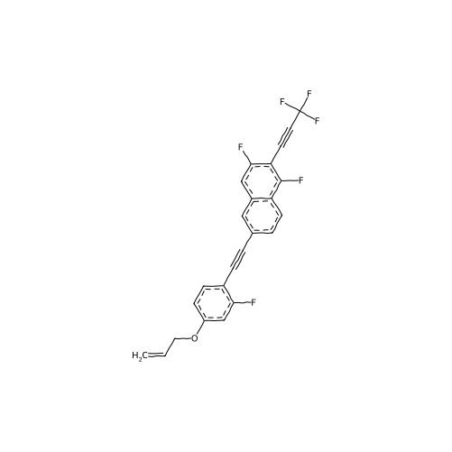 C=CCOc1ccc(C#Cc2ccc3c(F)c(C#CC(F)(F)F)c(F)cc3c2)c(F)c1